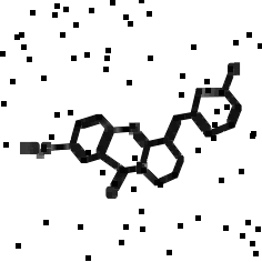 O=C(O)c1ccc2nc3n(c(=O)c2c1)CCCC3=Cc1cccc(Cl)c1